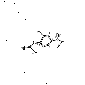 Cc1cc(C2(Br)CC2)ccc1OC(F)F